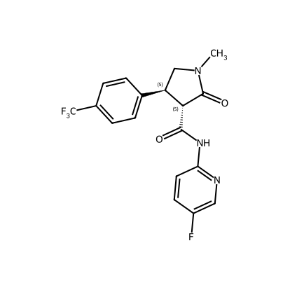 CN1C[C@H](c2ccc(C(F)(F)F)cc2)[C@@H](C(=O)Nc2ccc(F)cn2)C1=O